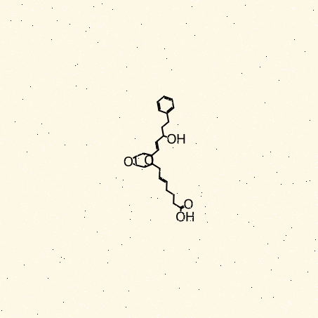 O=C(O)CCCC=CCC1C(C=CC(O)CCc2ccccc2)C2OC1C1OC21